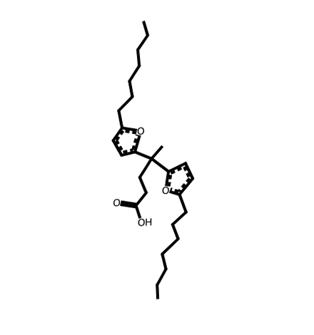 CCCCCCCc1ccc(C(C)(CCC(=O)O)c2ccc(CCCCCCC)o2)o1